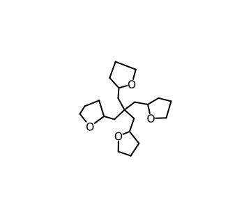 C1COC(CC(CC2CCCO2)(CC2CCCO2)CC2CCCO2)C1